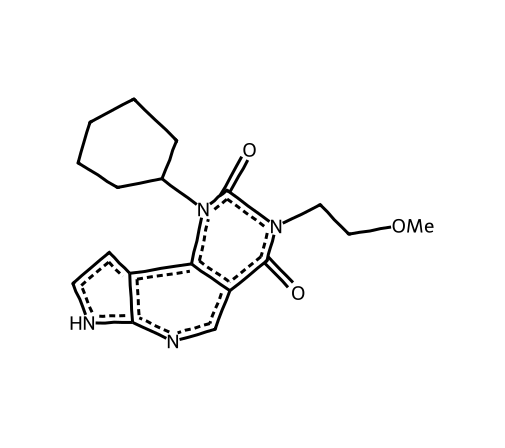 COCCn1c(=O)c2cnc3[nH]ccc3c2n(C2CCCCC2)c1=O